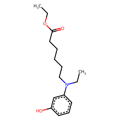 CCOC(=O)CCCCCN(CC)c1cccc(O)c1